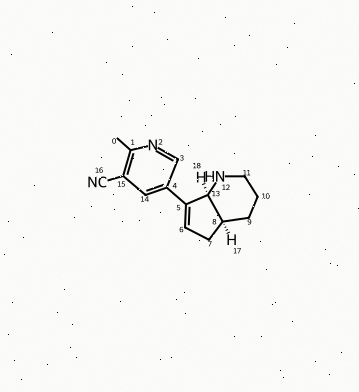 Cc1ncc(C2=CC[C@@H]3CCCN[C@H]23)cc1C#N